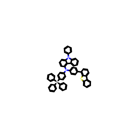 c1ccc(-n2c3ccccc3c3c(N(c4ccc(-c5cccc6c5sc5ccccc56)cc4)c4ccc([Si](c5ccccc5)(c5ccccc5)c5ccccc5)cc4)cccc32)cc1